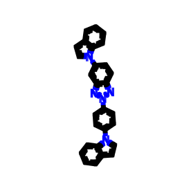 c1ccc2c(c1)ccn2-c1ccc(-n2nc3ccc(-n4ccc5ccccc54)cc3n2)cc1